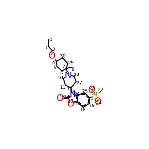 CCCOC1CCC(C)(N2CCC(n3c(=O)oc4ccc(S(C)(=O)=O)cc43)CC2)CC1